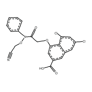 N#CCON(C(=O)COc1cc(C(=O)O)cc2cc(Cl)cc(Cl)c12)c1ccccc1